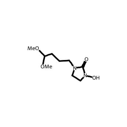 COC(CCCN1CCN(O)C1=O)OC